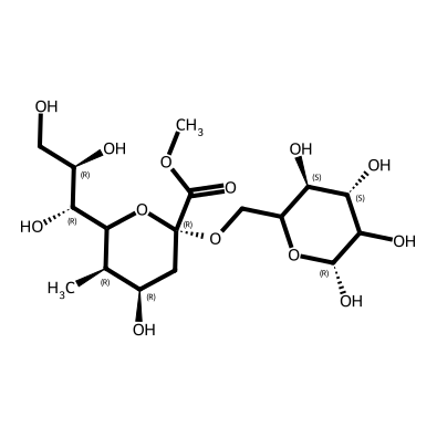 COC(=O)[C@@]1(OCC2O[C@@H](O)C(O)[C@@H](O)[C@@H]2O)C[C@@H](O)[C@@H](C)C([C@H](O)[C@H](O)CO)O1